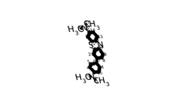 CN(C)c1ccc(-c2ccc3nc4ccc(=[N+](C)C)cc-4sc3c2)cc1